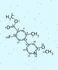 COC(=O)c1cc(C)c(-c2ccnc(OC)c2)cc1F